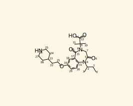 CCC(C)N1C(=O)CN(C(C)(C)C(=O)O)C(=O)c2cc(OCCC3CCNCC3)ccc21